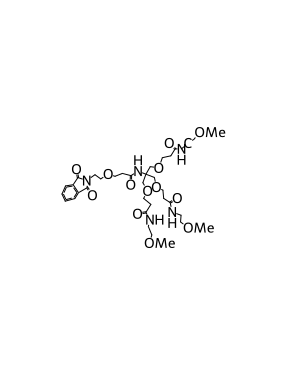 COCCNC(=O)CCOCC(COCCC(=O)NCCOC)(COCCC(=O)NCCOC)NC(=O)CCOCCN1C(=O)c2ccccc2C1=O